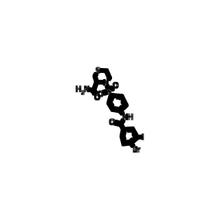 NC(=O)C1CSCCN1S(=O)(=O)c1ccc(NC(=O)c2ccc(Br)c(I)c2)cc1